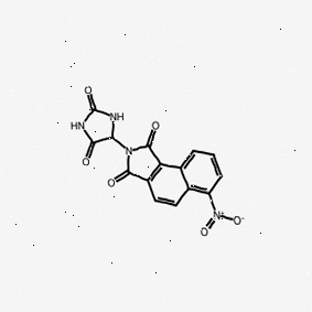 O=C1NC(=O)C(N2C(=O)c3ccc4c([N+](=O)[O-])cccc4c3C2=O)N1